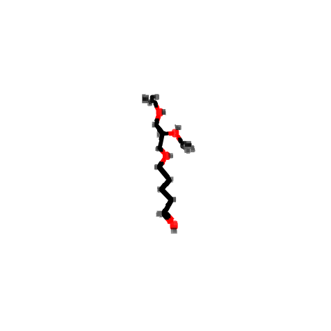 COCC(COCCCCC=O)OC